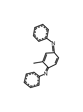 CC1=CC(=N\c2ccccc2)/C=CC/1=N/c1ccccc1